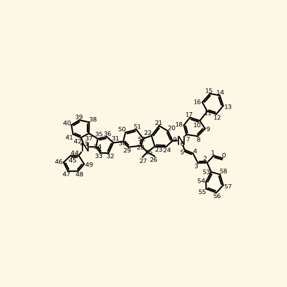 C=C/C(=C\C=C\N(c1ccc(-c2ccccc2)cc1)c1ccc2c(c1)C(C)(C)c1cc(-c3ccc4c(c3)c3ccccc3n4-c3ccccc3)ccc1-2)c1ccccc1